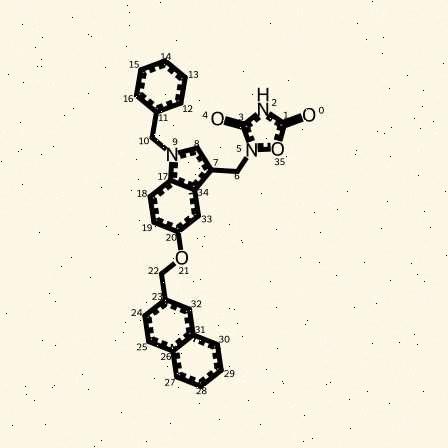 O=c1[nH]c(=O)n(Cc2cn(Cc3ccccc3)c3ccc(OCc4ccc5ccccc5c4)cc23)o1